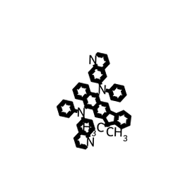 CC1(C)c2ccccc2-c2cc3c(N(c4ccccc4)c4ccc5ncccc5c4)c4ccccc4c(N(c4ccccc4)c4ccc5ncccc5c4)c3cc21